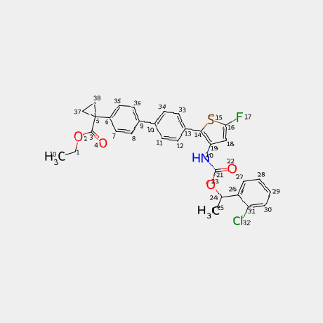 CCOC(=O)C1(c2ccc(-c3ccc(-c4sc(F)cc4NC(=O)OC(C)c4ccccc4Cl)cc3)cc2)CC1